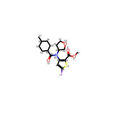 COC(=O)c1sc(I)cc1N(C(=O)C1CCC(C)CC1)C1CCOC1